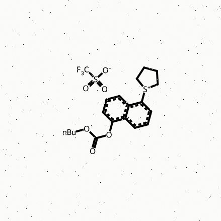 CCCCOC(=O)Oc1cccc2c([S+]3CCCC3)cccc12.O=S(=O)([O-])C(F)(F)F